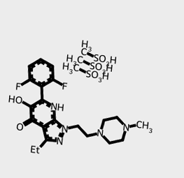 CCc1nn(CCN2CCN(C)CC2)c2[nH]c(-c3c(F)cccc3F)c(O)c(=O)c12.CS(=O)(=O)O.CS(=O)(=O)O.CS(=O)(=O)O